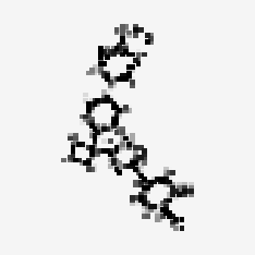 Nc1ncc(-c2ccc(C3(c4noc(-c5ccc(=O)[nH]c5)n4)CCC3)cc2)cn1